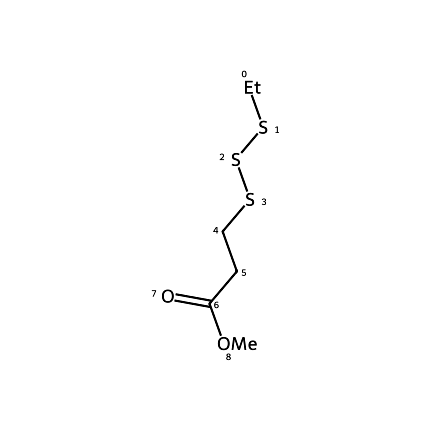 CCSSSCCC(=O)OC